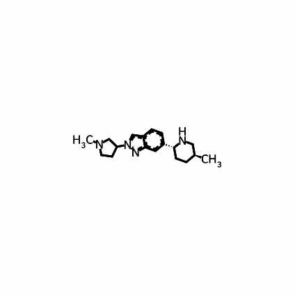 C[C@H]1CC[C@H](c2ccc3cn(C4CCN(C)C4)nc3c2)NC1